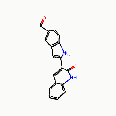 O=Cc1ccc2[nH]c(-c3cc4ccccc4[nH]c3=O)cc2c1